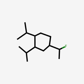 CC(C)C1CCC(C(C)F)CC1C(C)C